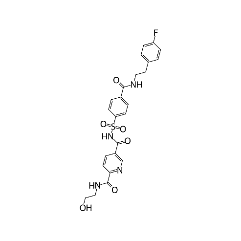 O=C(NCCc1ccc(F)cc1)c1ccc(S(=O)(=O)NC(=O)c2ccc(C(=O)NCCO)nc2)cc1